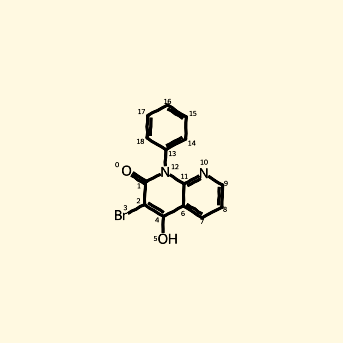 O=c1c(Br)c(O)c2cccnc2n1-c1ccccc1